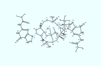 CC(C)C(=O)Nc1nc2c(ncn2[C@@H]2O[C@@H]3COP(=O)(S)O[C@@H]4[C@H](O[Si](C)(C)C(C)(C)C)[C@@H](COP(=O)(S)O[C@@H]2[C@@H]3O[Si](C)(C)C(C)(C)C)O[C@H]4n2cnc3c(=O)[nH]c(NC(=O)C(C)C)nc32)c(=O)[nH]1